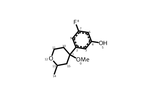 COC1(c2cc(O)cc(F)c2)CCOC(C)C1